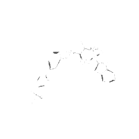 CC(NS(=O)(=O)c1cc2ccccc2o1)C(=O)NCc1cccc(-c2ccc(C(F)(F)F)cn2)c1